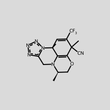 C[C@@H]1COC2=C3N1Cc1nnnn1C3(C)C=C(C(F)(F)F)C2(C)C#N